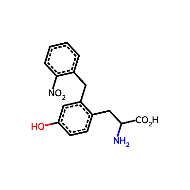 NC(Cc1ccc(O)cc1Cc1ccccc1[N+](=O)[O-])C(=O)O